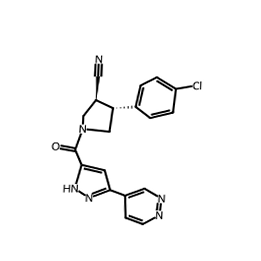 N#C[C@@H]1CN(C(=O)c2cc(-c3ccnnc3)n[nH]2)C[C@H]1c1ccc(Cl)cc1